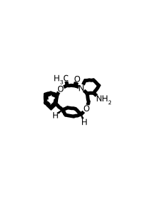 CC1Oc2ccccc2[C@H]2CC[C@H](CC2)OCC2C(N)CCCN2C1=O